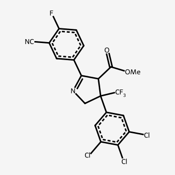 COC(=O)C1C(c2ccc(F)c(C#N)c2)=NCC1(c1cc(Cl)c(Cl)c(Cl)c1)C(F)(F)F